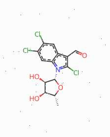 C[C@H]1O[C@@H](n2c(Cl)c(C=O)c3cc(Cl)c(Cl)cc32)[C@H](O)[C@@H]1O